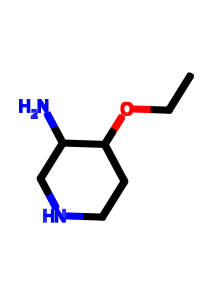 CCOC1CCNCC1N